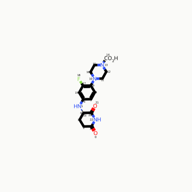 O=C1CC[C@H](Nc2ccc(N3CCN(C(=O)O)CC3)c(F)c2)C(=O)N1